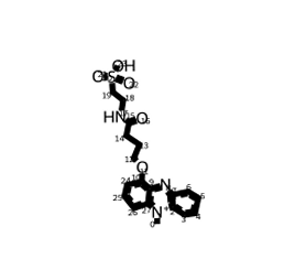 C[n+]1c2ccccc2nc2c(OCCCC(=O)NCCS(=O)(=O)O)cccc21